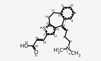 CN(C)CC/C=C1/c2ccccc2CCc2sc(/C=C/C(=O)O)cc21